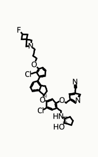 N#Cc1cncc(COc2cc(O[C@H]3CCc4c(-c5cccc(OCCCN6CC7(CC(F)C7)C6)c5Cl)cccc43)c(Cl)cc2CN[C@H]2CCC[C@@H]2O)c1